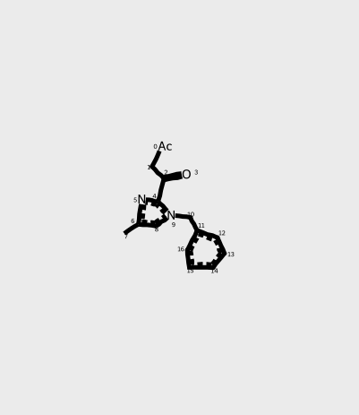 CC(=O)CC(=O)c1nc(C)cn1Cc1ccccc1